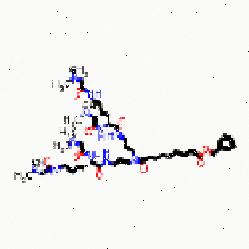 CN(C)CC(=O)NCCCC[C@H](NC(=O)CN(C)C)C(=O)NCCCN(CCCNC(=O)[C@H](CCCCNC(=O)CN(C)C)NC(=O)CN(C)C)C(=O)CCCCCCCC(=O)OCc1ccccc1